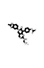 Cc1nc2ccc(-n3cc4cnc(NCC(F)(F)F)nc4c(-c4ccc(OC(F)F)cc4)c3=O)cc2s1